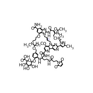 CCc1nc(C)oc1C(=O)Nc1nc2cc(C(N)=O)cc(OCCCN(C)C(=O)OCc3ccc(O[C@@H]4O[C@H](C(=O)O)[C@@H](O)[C@H](O)[C@H]4O)c(NC(=O)CCNC(=O)CCN4C(=O)C=CC4=O)c3)c2n1C/C=C/Cn1c2nc(-c3cc(C)nn3CC)ncc2c2nc(C(N)=O)cc(OC)c21